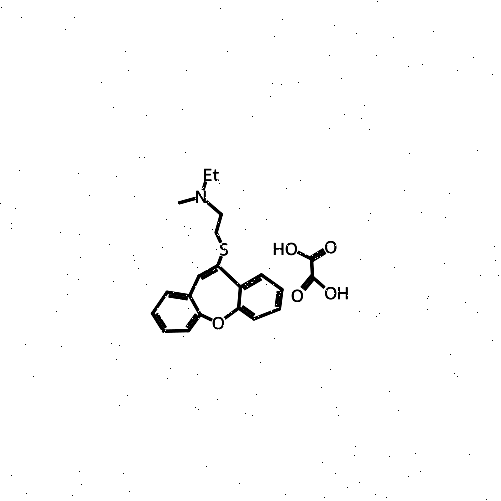 CCN(C)CCSC1=Cc2ccccc2Oc2ccccc21.O=C(O)C(=O)O